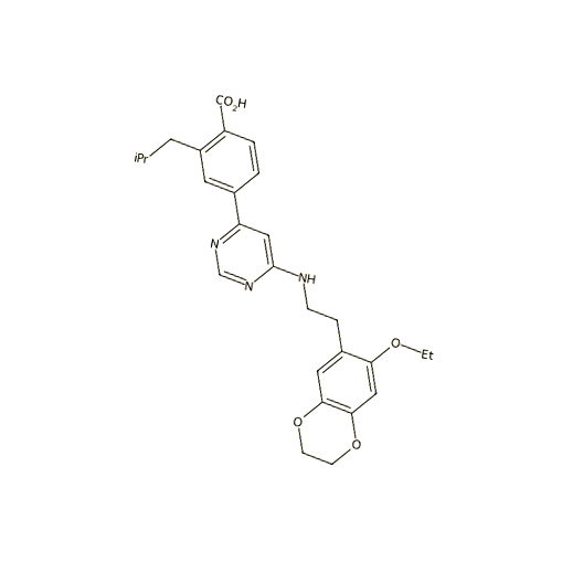 CCOc1cc2c(cc1CCNc1cc(-c3ccc(C(=O)O)c(CC(C)C)c3)ncn1)OCCO2